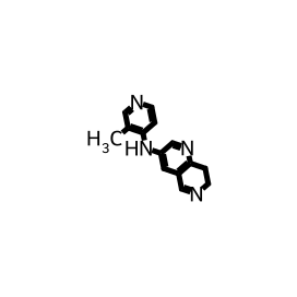 Cc1cnccc1Nc1cnc2c(c1)C=NCC2